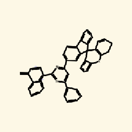 C=C(/C=C\C(=C/C)c1nc(-c2ccccc2)cc(-c2ccc3c(c2)C2(C4=C(CCC=C4)Sc4ccccc42)c2ccccc2-3)n1)c1ccccc1